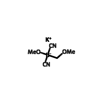 COC[B-](C#N)(C#N)OC.[K+]